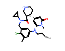 COCCNc1cc(C)c(Cl)c(CN(C(=O)C2CNCC[C@@H]2c2ccn(C)c(=O)c2)C2CC2)c1